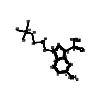 Bc1cnc2c(n1)c(C(=O)C(C)(C)C)cn2COCC[Si](C)(C)C